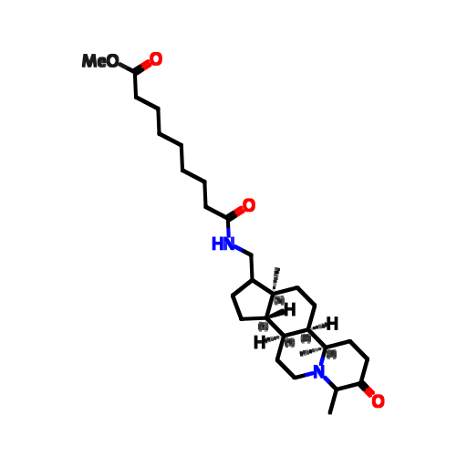 COC(=O)CCCCCCCC(=O)NCC1CC[C@H]2[C@@H]3CCN4C(C)C(=O)CC[C@]4(C)[C@@H]3CC[C@]12C